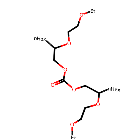 CCCCCCC(COC(=O)OCC(CCCCCC)OCCOCC)OCCOCC